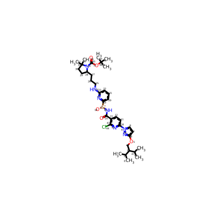 CC(C)C(COc1ccn(-c2ccc(C(=O)N[S+]([O-])c3cccc(NCCCC4CCC(C)(C)N4C(=O)OC(C)(C)C)n3)c(Cl)n2)n1)C(C)C